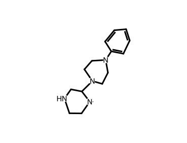 c1ccc(N2CCN(C3CNCC[N]3)CC2)cc1